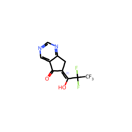 O=C1/C(=C(\O)C(F)(F)C(F)(F)F)Cc2ncncc21